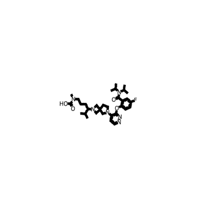 CC(C)C(CCCN(C)C(=O)O)N1CC2(CCN(c3ccnnc3Oc3ccc(F)cc3C(=O)N(C(C)C)C(C)C)C2)C1